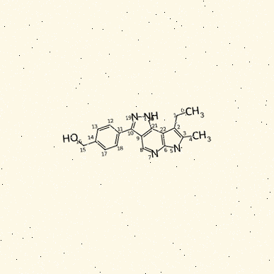 CCC1=C(C)[N]c2ncc3c(-c4ccc(CO)cc4)n[nH]c3c21